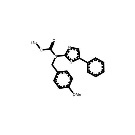 COc1ccc(CN(C(=O)OC(C)(C)C)c2ncc(-c3ccccc3)s2)cc1